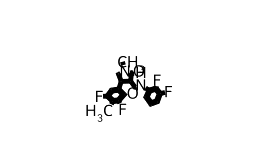 Cc1c(F)cc(C2CN(C)C(=O)C2C(=O)Nc2cccc(F)c2F)cc1F